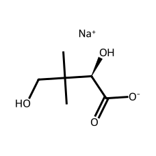 CC(C)(CO)[C@@H](O)C(=O)[O-].[Na+]